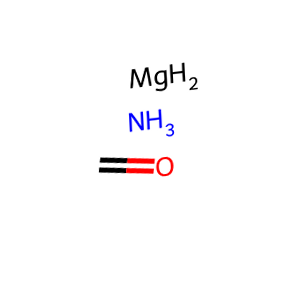 C=O.N.[MgH2]